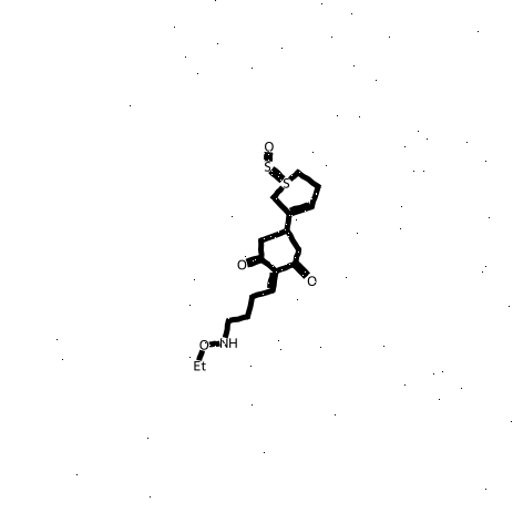 CCONCCCC=C1C(=O)CC(C2=CCCS(=S=O)C2)CC1=O